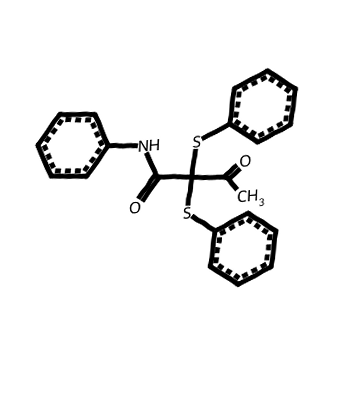 CC(=O)C(Sc1ccccc1)(Sc1ccccc1)C(=O)Nc1ccccc1